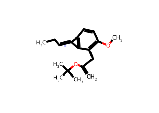 C=C(Cc1c(OC)ccc2c1/C2=C/CC)OC(C)(C)C